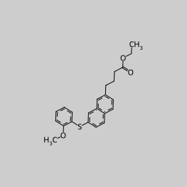 CCOC(=O)CCCc1ccc2ccc(Sc3ccccc3OC)cc2c1